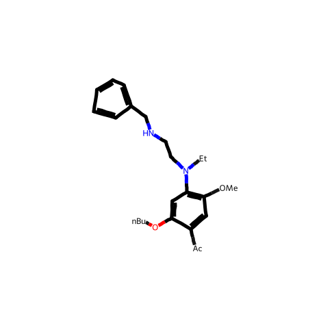 CCCCOc1cc(N(CC)CCNCc2ccccc2)c(OC)cc1C(C)=O